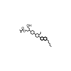 C=C(C)C(=O)OCCC(CCO)C1CCC(C2CCC(c3ccc4cc(CCCCC)ccc4c3)C(CC)C2)CC1